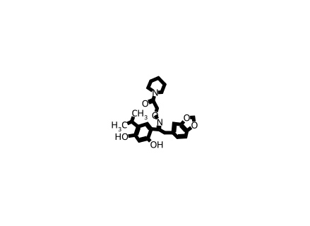 CC(C)c1cc(C(Cc2ccc3c(c2)OCO3)=NOCC(=O)N2CCCCC2)c(O)cc1O